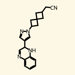 N#CCC1CC2(C1)CC(n1cc(C3C=Nc4ccccc4N3)cn1)C2